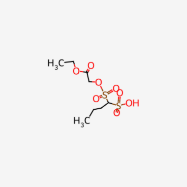 CCCC(S(=O)(=O)O)S(=O)(=O)OCC(=O)OCC